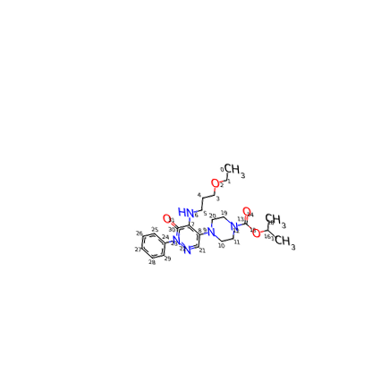 CCOCCCNc1c(N2CCN(C(=O)OC(C)C)CC2)cnn(-c2ccccc2)c1=O